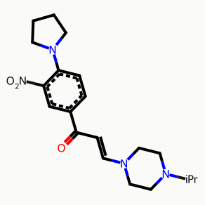 CC(C)N1CCN(C=CC(=O)c2ccc(N3CCCC3)c([N+](=O)[O-])c2)CC1